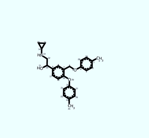 Cc1ccc(OCc2cc(C(O)CNC3CC3)ccc2Oc2ccc(C)cc2)cc1